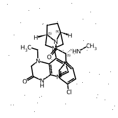 CCN1CC(=O)Nc2ncnc(N3C[C@H]4CC[C@@H](C3)N4C(=O)[C@H](CNC)c3ccc(Cl)cc3)c21